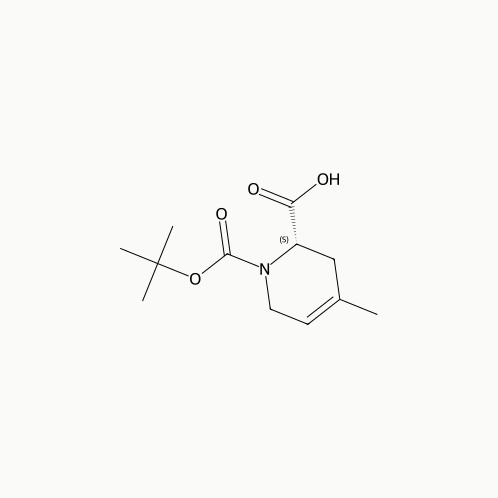 CC1=CCN(C(=O)OC(C)(C)C)[C@H](C(=O)O)C1